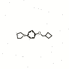 c1cc(N2CCCC2)ccc1OCC1CCC1